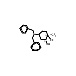 O[C@H]1CC(N(Cc2ccccc2)Cc2ccccc2)CC[C@]1(O)C(F)(F)F